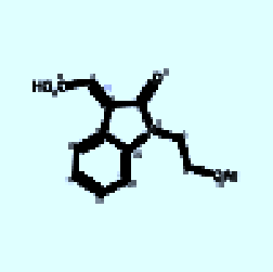 CC(=O)OCCN1C(=O)/C(=C/C(=O)O)c2ccccc21